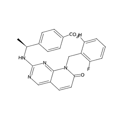 C[C@H](Nc1ncc2ccc(=O)n(Cc3c(F)cccc3F)c2n1)c1ccc(C(=O)O)cc1